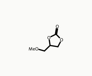 COCC1COC(=O)O1